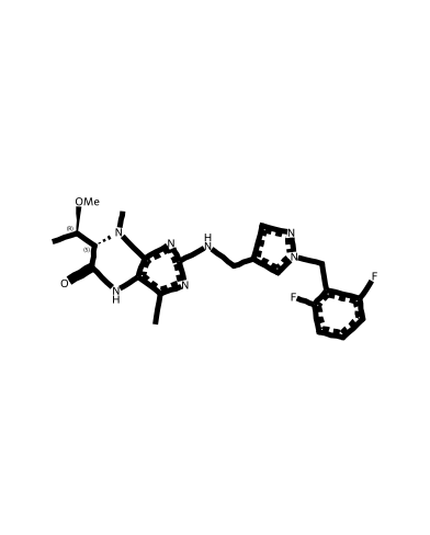 CO[C@H](C)[C@H]1C(=O)Nc2c(C)nc(NCc3cnn(Cc4c(F)cccc4F)c3)nc2N1C